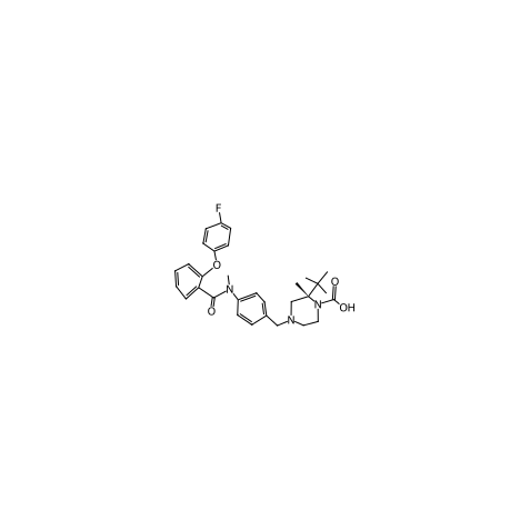 CN(C(=O)c1ccccc1Oc1ccc(F)cc1)c1ccc(CN2CCN(C(=O)O)[C@@](C)(C(C)(C)C)C2)cc1